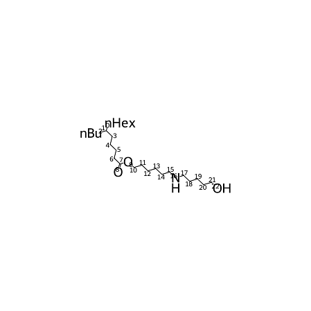 CCCCCCC(CCCC)CCCCC(=O)OCCCCCCNCCCCCO